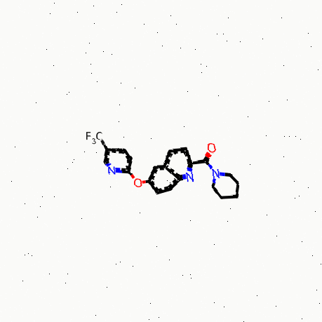 O=C(c1ccc2cc(Oc3ccc(C(F)(F)F)cn3)ccc2n1)N1CCCCC1